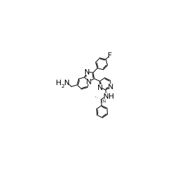 C[C@H](Nc1nccc(-c2c(-c3ccc(F)cc3)nc3cc(CN)ccn23)n1)c1ccccc1